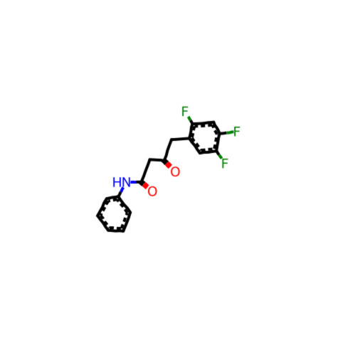 O=C(CC(=O)Nc1ccccc1)Cc1cc(F)c(F)cc1F